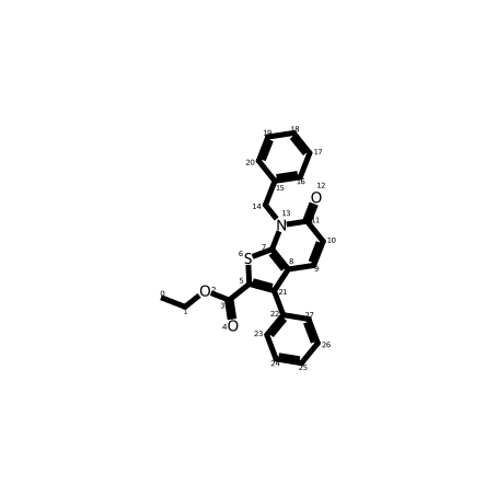 CCOC(=O)c1sc2c(ccc(=O)n2Cc2ccccc2)c1-c1ccccc1